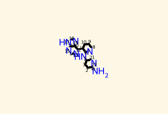 Nc1ccc(Nc2ncccc2-c2ncnc3[nH]cnc23)cn1